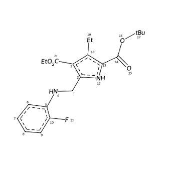 CCOC(=O)c1c(CNc2ccccc2F)[nH]c(C(=O)OC(C)(C)C)c1CC